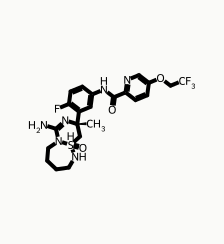 C[C@@]1(c2cc(NC(=O)c3ccc(OCC(F)(F)F)cn3)ccc2F)C[SH]2(=O)NCCCCN2C(N)=N1